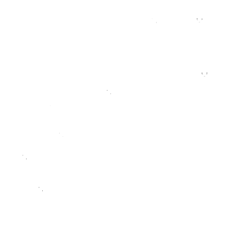 COc1cc(-c2cc(C)c3c(n2)CN(c2cn(C)cn2)C3=O)cnc1OC